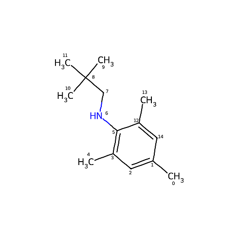 Cc1cc(C)c(NCC(C)(C)C)c(C)c1